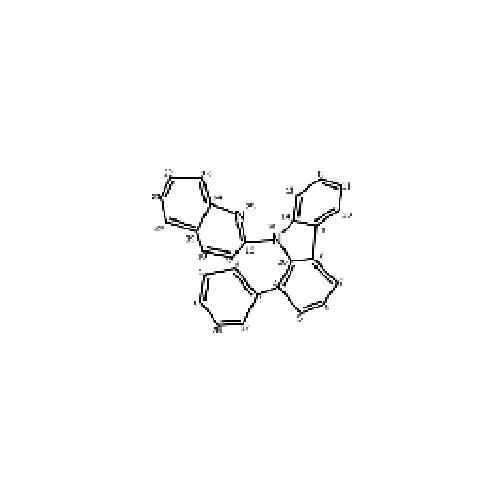 c1ccc(-c2cccc3c4ccccc4n(-c4ccc5ccccc5n4)c23)cc1